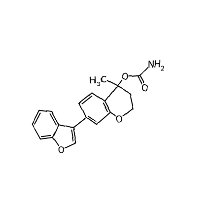 CC1(OC(N)=O)CCOc2cc(-c3coc4ccccc34)ccc21